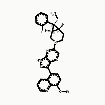 CCOc1ccc(-c2n[nH]c3nc(N4CC[C@@H]5[C@H](C4)[C@@]5(CN)c4ccccc4F)cnc23)c2cccnc12